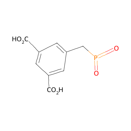 O=C(O)c1cc(CP(=O)=O)cc(C(=O)O)c1